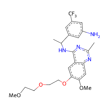 COCCOCCOc1cc2c(NC(C)c3cc(N)cc(C(F)(F)F)c3)nc(C)nc2cc1OC